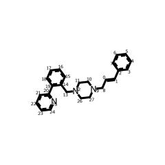 C(=Cc1ccccc1)CN1CCN(Cc2ccccc2-c2ccccn2)CC1